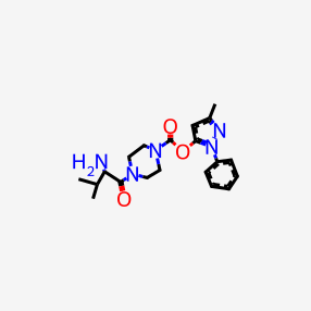 Cc1cc(OC(=O)N2CCN(C(=O)C(N)C(C)C)CC2)n(-c2ccccc2)n1